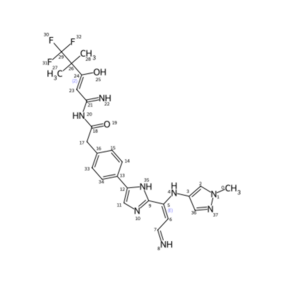 Cn1cc(N/C(=C/C=N)c2ncc(-c3ccc(CC(=O)NC(=N)/C=C(\O)C(C)(C)C(F)(F)F)cc3)[nH]2)cn1